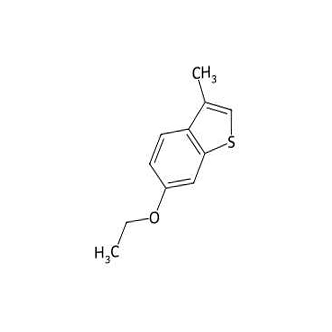 CCOc1ccc2c(C)csc2c1